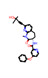 CN1C(=O)[C@@H](NC(=O)c2cc(Oc3ccccc3)ccn2)CCc2ccc(C#CC(C)(C)O)nc21